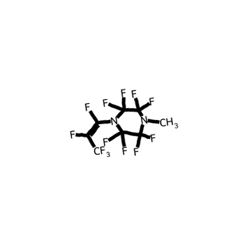 CN1C(F)(F)C(F)(F)N(/C(F)=C(/F)C(F)(F)F)C(F)(F)C1(F)F